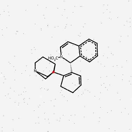 O=C(O)N1C=Cc2ccccc2[C@@H]1C1=C(C2CN3CCC2CC3)CCC=C1